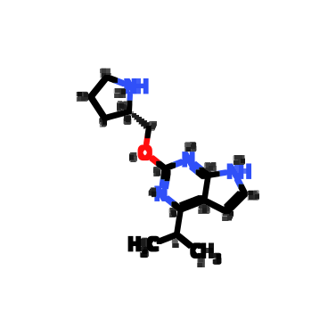 CC(C)c1nc(OC[C@@H]2CCCN2)nc2[nH]ccc12